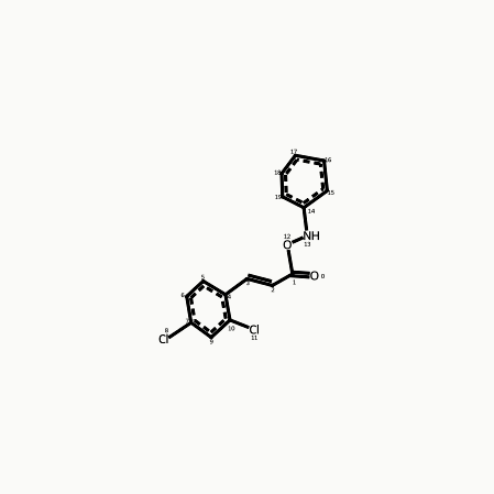 O=C(/C=C/c1ccc(Cl)cc1Cl)ONc1ccccc1